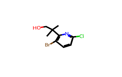 CC(C)(CO)c1nc(Cl)ccc1Br